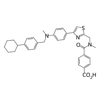 CN(Cc1nc(-c2ccc(N(C)Cc3ccc(C4CCCCC4)cc3)cc2)cs1)C(=O)c1ccc(C(=O)O)cc1